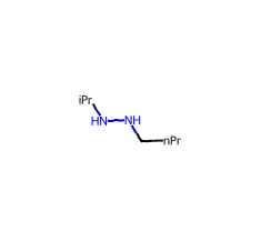 CCCCNNC(C)C